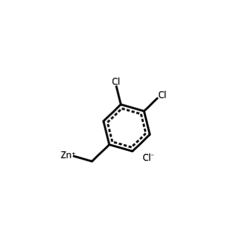 Clc1ccc([CH2][Zn+])cc1Cl.[Cl-]